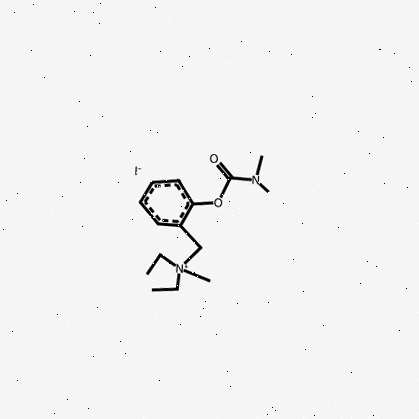 CC[N+](C)(CC)Cc1ccccc1OC(=O)N(C)C.[I-]